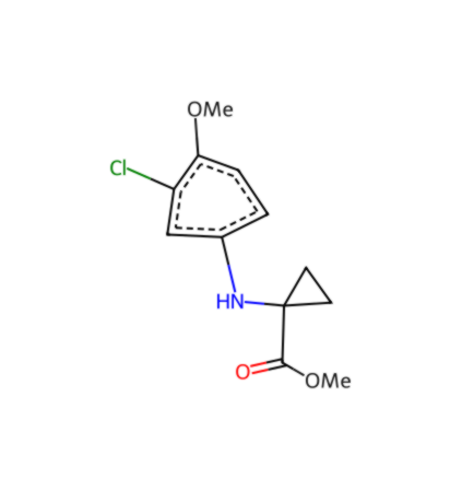 COC(=O)C1(Nc2ccc(OC)c(Cl)c2)CC1